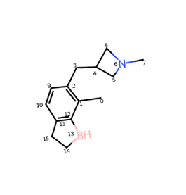 Cc1c(CC2CN(C)C2)ccc2c1BCC2